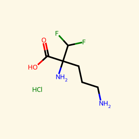 Cl.NCCCC(N)(C(=O)O)C(F)F